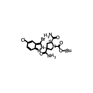 CC(C)(C)OC(=O)N1C[C@](C(N)=O)(n2nc3ccc(Cl)cc3c2Br)C[C@H]1C(N)=O